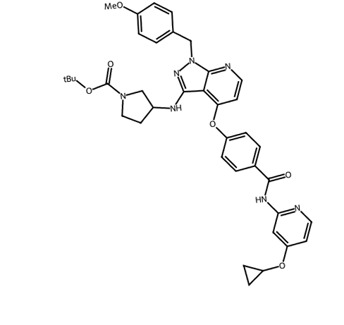 COc1ccc(Cn2nc(NC3CCN(C(=O)OC(C)(C)C)C3)c3c(Oc4ccc(C(=O)Nc5cc(OC6CC6)ccn5)cc4)ccnc32)cc1